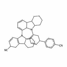 N#Cc1ccc(C2C=CC=C(N3C4CCCCC4C4C=CC=C(N5C6=CCCCC6C6=C5C=CC(C#N)C6)C43)C2)cc1